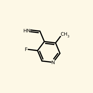 Cc1cncc(F)c1C=N